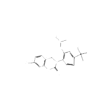 C[SiH](C)Oc1cc(C(C)(C)C)ccc1N1Cc2ccc(O)cc2OC1=O